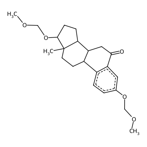 COCOc1ccc2c(c1)C(=O)CC1C2CCC2(C)C(OCOC)CCC12